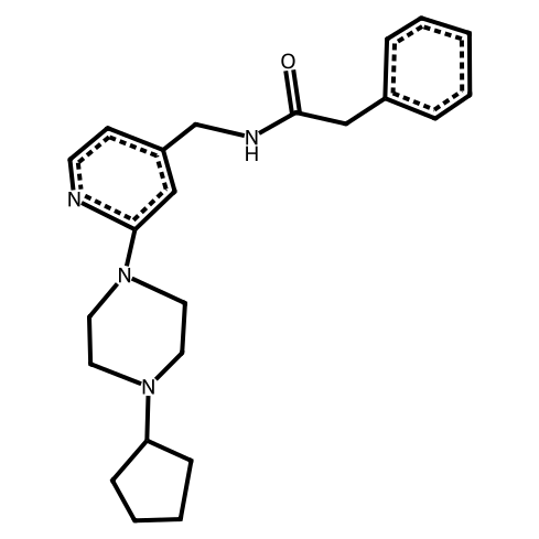 O=C(Cc1ccccc1)NCc1ccnc(N2CCN(C3CCCC3)CC2)c1